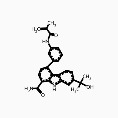 C=C(C)C(=O)Nc1cccc(-c2ccc(C(N)=O)c3[nH]c4cc(C(C)(C)O)ccc4c23)c1